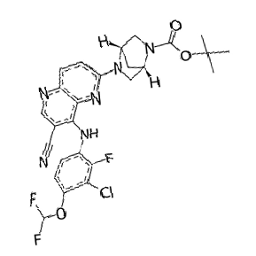 CC(C)(C)OC(=O)N1C[C@@H]2C[C@H]1CN2c1ccc2ncc(C#N)c(Nc3ccc(OC(F)F)c(Cl)c3F)c2n1